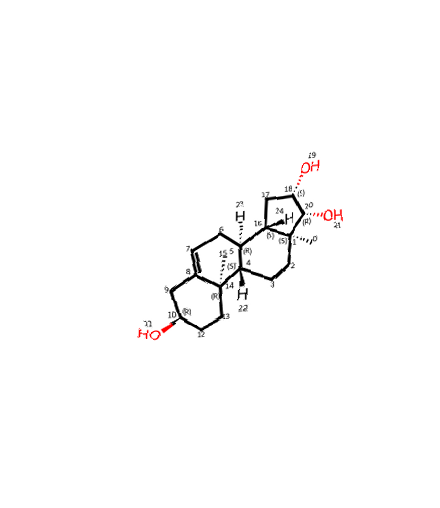 C[C@]12CC[C@H]3[C@@H](CC=C4C[C@H](O)CC[C@@]43C)[C@@H]1C[C@H](O)[C@@H]2O